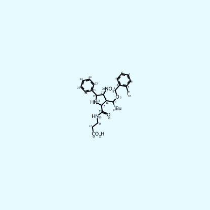 CC[C@H](C)C(OCc1ccccc1F)C1C(C(=O)NCCC(=O)O)NC(c2ccccc2)C1[N+](=O)[O-]